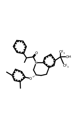 Cc1ccc(O[C@H]2CCc3cc(C(O)(C(F)(F)F)C(F)(F)F)ccc3N(C(=O)C(C)c3ccccc3)C2)c(C)c1